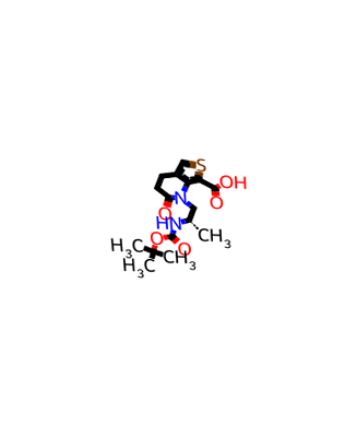 C[C@@H](CN1C(=O)CCc2csc(C(=O)O)c21)NC(=O)OC(C)(C)C